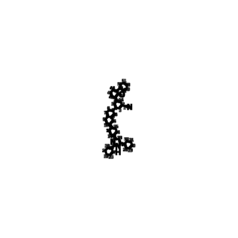 N#Cc1cc(-c2ccc3ccc(-c4ccc(C5=NC(C6=CCCC=C6)NC(c6ccccc6)=C5)cc4)cc3c2)cc(-c2cccc3c2oc2ccccc23)c1